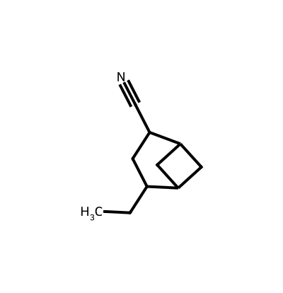 CCC1CC(C#N)C2CC1C2